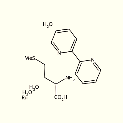 CSCCC(N)C(=O)O.O.O.O.[Ru].c1ccc(-c2ccccn2)nc1